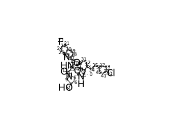 C[C@H](NC(=O)[C@@H]1C[C@@H](O)CN1C(=O)CNC(=O)c1ccc2cc(F)ccc2n1)c1ccccc1/C=C/c1ccc(Cl)cc1